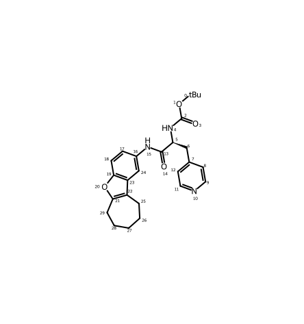 CC(C)(C)OC(=O)N[C@@H](Cc1ccncc1)C(=O)Nc1ccc2oc3c(c2c1)CCCCC3